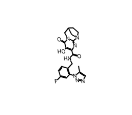 Cc1cnnn1-c1cc(F)ccc1CNC(=O)c1nc2n(c(=O)c1O)CC1CCN2CC1